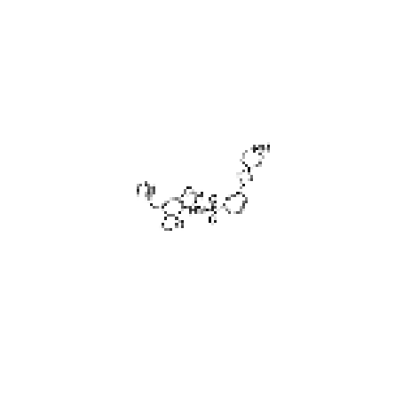 O=S(=O)(Nc1noc2cc(Cn3cccn3)c3c(c12)OCC3)c1cccc(N2CC3(CCNCC3)C2)c1